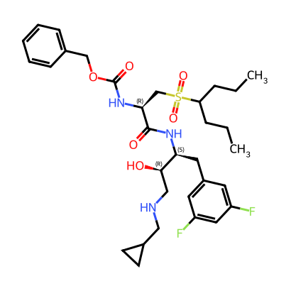 CCCC(CCC)S(=O)(=O)C[C@H](NC(=O)OCc1ccccc1)C(=O)N[C@@H](Cc1cc(F)cc(F)c1)[C@H](O)CNCC1CC1